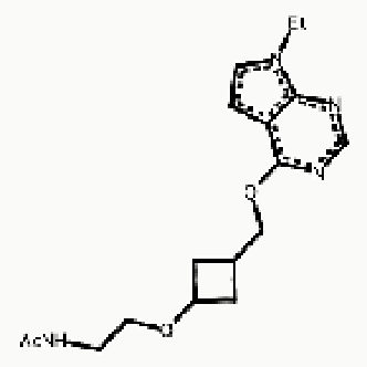 CCn1ccc2c(OCC3CC(OCCNC(C)=O)C3)ncnc21